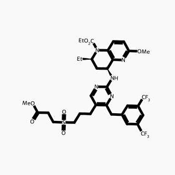 CCOC(=O)N1c2ccc(OC)nc2[C@@H](Nc2ncc(CCCS(=O)(=O)CCC(=O)OC)c(Cc3cc(C(F)(F)F)cc(C(F)(F)F)c3)n2)C[C@H]1CC